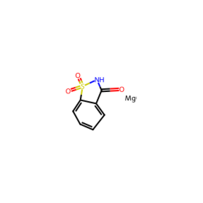 O=C1NS(=O)(=O)c2ccccc21.[Mg]